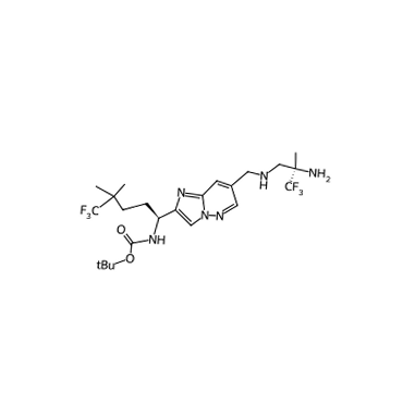 CC(C)(C)OC(=O)N[C@@H](CCC(C)(C)C(F)(F)F)c1cn2ncc(CNC[C@@](C)(N)C(F)(F)F)cc2n1